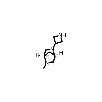 CN1C[C@H]2C[C@@H]1CN2C1CNC1